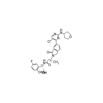 COc1ccc(F)cc1[C@@H](CO)NC(=O)C[C@@H](C)N1Cc2ccc(-c3nc(NC4CCOCC4)ncc3Cl)cc2C1=O